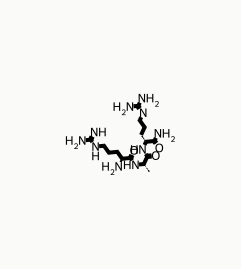 C[C@H](NC(=O)[C@@H](N)CCCNC(=N)N)C(=O)N[C@H](CCCN=C(N)N)C(N)=O